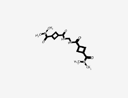 CN(C)C(=O)C1CC(C(=O)NCNC(=O)C2CC(C(=O)N(C)C)C2)C1